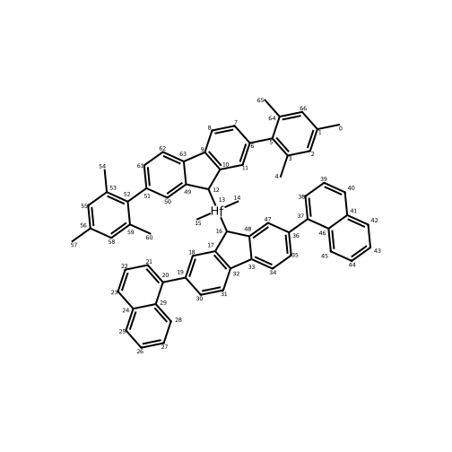 Cc1cc(C)c(-c2ccc3c(c2)[CH]([Hf]([CH3])([CH3])[CH]2c4cc(-c5cccc6ccccc56)ccc4-c4ccc(-c5cccc6ccccc56)cc42)c2cc(-c4c(C)cc(C)cc4C)ccc2-3)c(C)c1